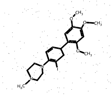 COc1cc(OC)c(C2C=CC(N3CCN(C)CC3)=C(I)C2)cc1OC